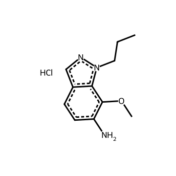 CCCn1ncc2ccc(N)c(OC)c21.Cl